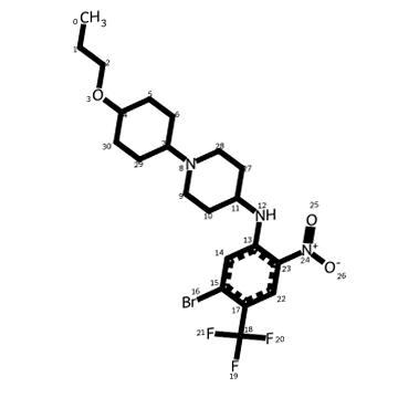 CCCOC1CCC(N2CCC(Nc3cc(Br)c(C(F)(F)F)cc3[N+](=O)[O-])CC2)CC1